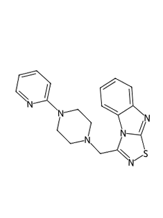 c1ccc(N2CCN(Cc3nsc4nc5ccccc5n34)CC2)nc1